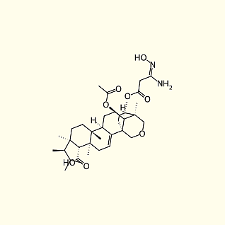 CC(=O)O[C@@H]1C[C@@]23COC[C@@](C)([C@@H]2CC[C@H]2C3=CC[C@@]3(C)[C@H](C(=O)O)[C@@](C)([C@H](C)C(C)C)CC[C@]23C)[C@H]1OC(=O)C/C(N)=N\O